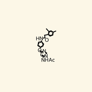 CC(=O)Nc1cc(Oc2ccc(NC(=O)Cc3ccc(C)cc3C)cc2)ncn1